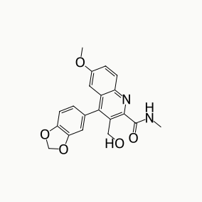 CNC(=O)c1nc2ccc(OC)cc2c(-c2ccc3c(c2)OCO3)c1CO